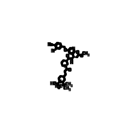 COC(=O)C[C@H](NC(=O)[C@@H]1CCCN(C(=O)CCC2CCN(C(=O)O)C(C(C)(C)C)C2)C1)c1cncc(OCc2ccc(C#N)c(Br)c2)c1